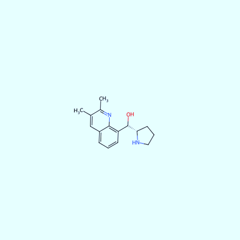 Cc1cc2cccc(C(O)[C@@H]3CCCN3)c2nc1C